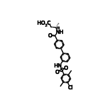 Cc1cc(S(=O)(=O)Nc2cccc(-c3ccc(C(=O)N[C@@H](C)CC(=O)O)cc3)c2)c(C)cc1Cl